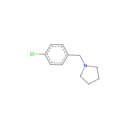 Clc1ccc(CN2[CH]CCC2)cc1